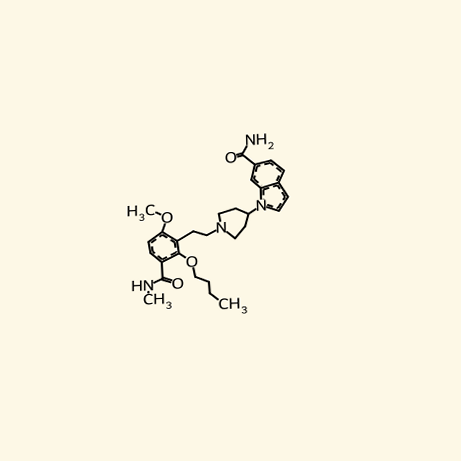 CCCCOc1c(C(=O)NC)ccc(OC)c1CCN1CCC(n2ccc3ccc(C(N)=O)cc32)CC1